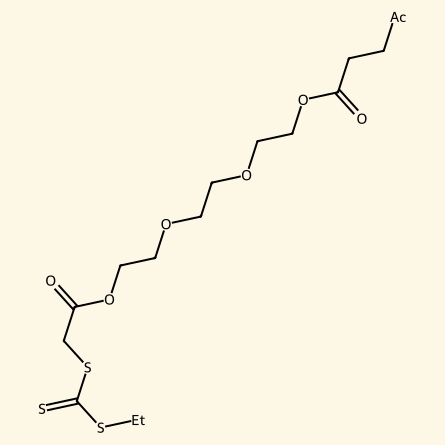 CCSC(=S)SCC(=O)OCCOCCOCCOC(=O)CCC(C)=O